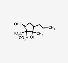 C=CCC1CN(C=O)C(C(=O)O)(C(=O)O)C1(C)O